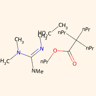 CC(=O)O.CCCOC(=O)C(CCC)(CCC)CCC.CN=C(NC)N(C)C